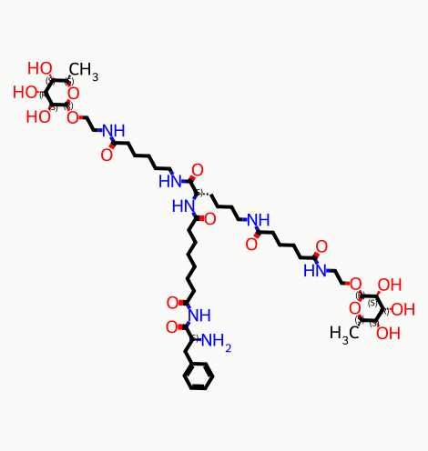 C[C@@H]1O[C@@H](OCCNC(=O)CCCCCNC(=O)[C@H](CCCCNC(=O)CCCCC(=O)NCCO[C@@H]2O[C@@H](C)[C@@H](O)[C@@H](O)[C@@H]2O)NC(=O)CCCCCCC(=O)NC(=O)[C@@H](N)Cc2ccccc2)[C@@H](O)[C@H](O)[C@@H]1O